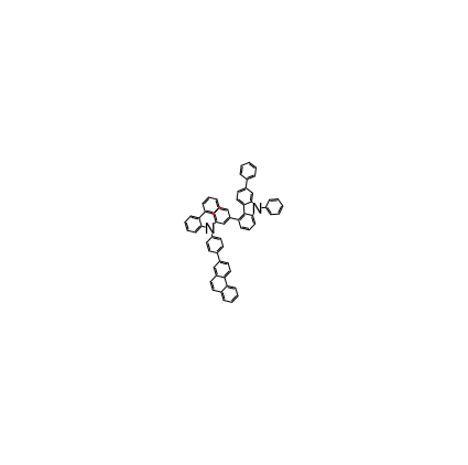 c1ccc(-c2ccc3c4c(-c5cccc(N(c6ccc(-c7ccc8c(ccc9ccccc98)c7)cc6)c6ccccc6-c6ccccc6)c5)cccc4n(-c4ccccc4)c3c2)cc1